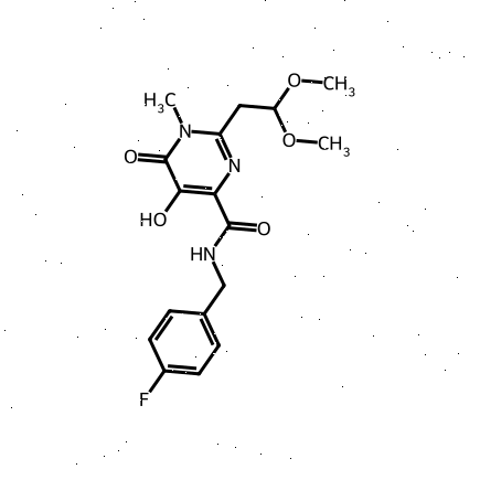 COC(Cc1nc(C(=O)NCc2ccc(F)cc2)c(O)c(=O)n1C)OC